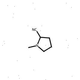 CN1CCC[C]1C#N